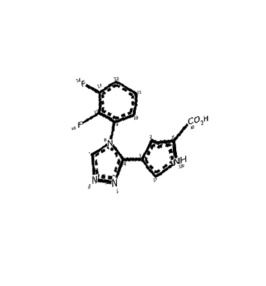 O=C(O)c1cc(-c2nncn2-c2cccc(F)c2F)c[nH]1